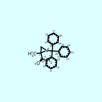 CC1(C(N)=O)CN1C(c1ccccc1)(c1ccccc1)c1ccccc1